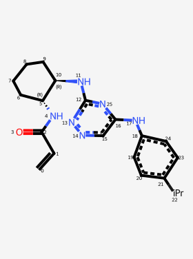 C=CC(=O)N[C@@H]1CCCC[C@H]1Nc1nncc(Nc2ccc(C(C)C)cc2)n1